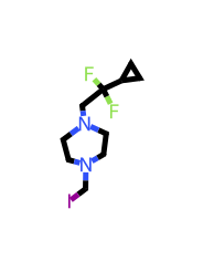 FC(F)(CN1CCN(CI)CC1)C1CC1